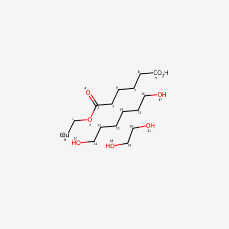 CC(C)(C)COC(=O)CCCCC(=O)O.OCCCCCCO.OCCO